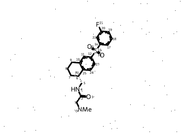 CNCC(=O)NC[C@@H]1CCCc2cc(S(=O)(=O)c3cccc(F)c3)ccc21